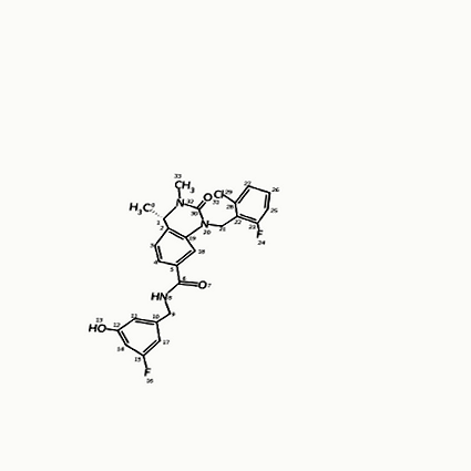 C[C@H]1c2ccc(C(=O)NCc3cc(O)cc(F)c3)cc2N(Cc2c(F)cccc2Cl)C(=O)N1C